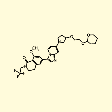 COc1cc(-c2cnc3cc(N4CCC(OCCOC5CCCCO5)C4)ccn23)cc2c1C(=O)N(CC(F)(F)F)CC2